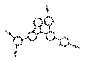 N#Cc1cnc(-c2ccc(-n3c4ccccc4c4cc(-c5cc(C#N)cc(C#N)c5)ccc43)c(-c3ncc(C#N)cn3)c2)nc1